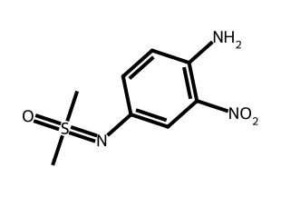 CS(C)(=O)=Nc1ccc(N)c([N+](=O)[O-])c1